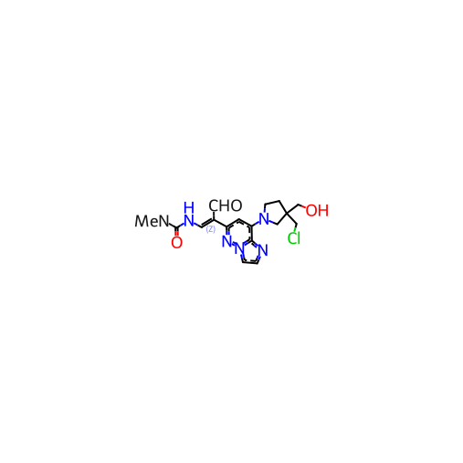 CNC(=O)N/C=C(\C=O)c1cc(N2CCC(CO)(CCl)C2)c2nccn2n1